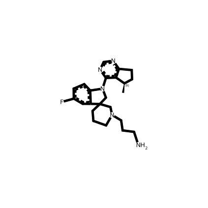 C[C@@H]1CCc2ncnc(N3CC4(CCCN(CCCN)C4)c4cc(F)ccc43)c21